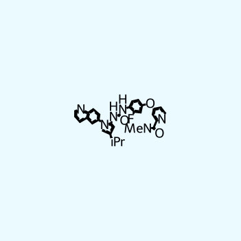 CNC(=O)c1cc(Oc2ccc(NC(=O)Nc3cc(C(C)C)cn3-c3ccc4ncccc4c3)c(F)c2)ccn1